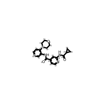 O=C(Nc1cnccc1N1CCOCC1)c1ccnc(NC(=O)C2CC2)c1